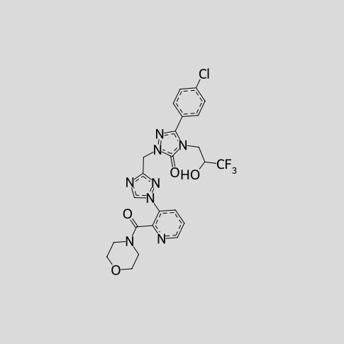 O=C(c1ncccc1-n1cnc(Cn2nc(-c3ccc(Cl)cc3)n(CC(O)C(F)(F)F)c2=O)n1)N1CCOCC1